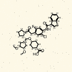 CO[C@H]1CN(C(O[C@H]2CC[C@H](C(=O)O)CC2)[C@@H]2CCCN2C(=O)Cc2cc(Cl)c(NC(=O)c3csc4ccccc34)cc2F)C[C@H]1OC